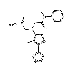 COC(=O)C[C@@H](CC(=O)N(C)c1ccccc1)c1noc(-c2ccno2)c1C